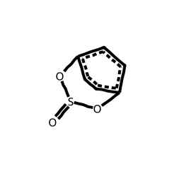 O=S1Oc2ccc(cc2)O1